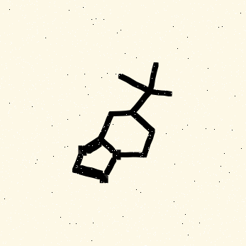 CC(C)(C)C1CCn2ncnc2C1